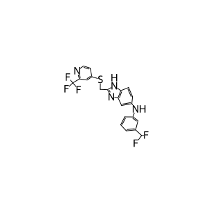 FC(F)c1cccc(Nc2ccc3[nH]c(CSc4ccnc(C(F)(F)F)c4)nc3c2)c1